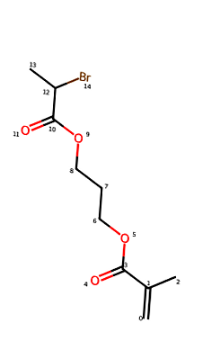 C=C(C)C(=O)OCCCOC(=O)C(C)Br